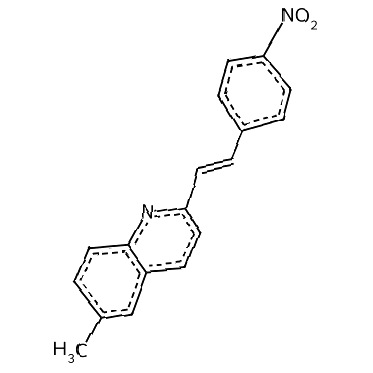 Cc1ccc2nc(C=Cc3ccc([N+](=O)[O-])cc3)ccc2c1